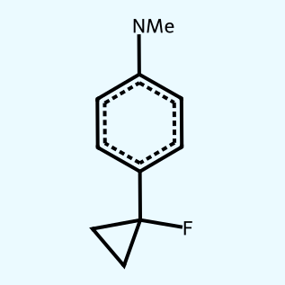 CNc1ccc(C2(F)CC2)cc1